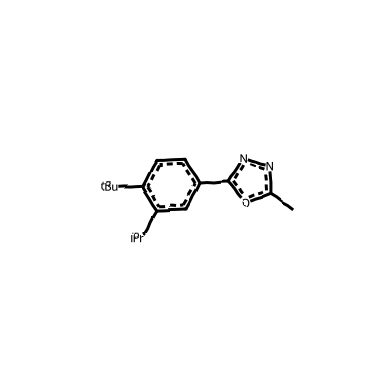 Cc1nnc(-c2ccc(C(C)(C)C)c(C(C)C)c2)o1